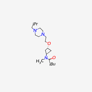 CCC(C)C(=O)N(C)[C@H]1C[C@H](OCCN2CCN(CC(C)C)CC2)C1